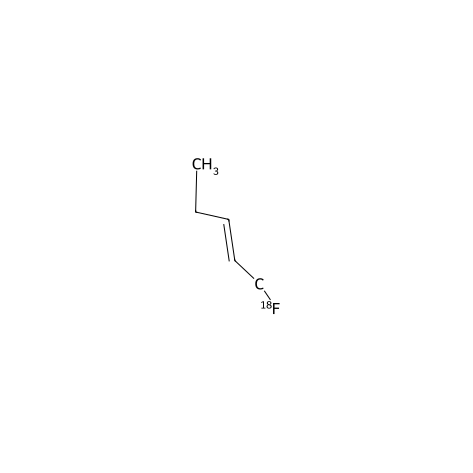 CC/C=C/C[18F]